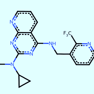 CN(c1nc(NCc2cccnc2C(F)(F)F)c2cccnc2n1)C1CC1